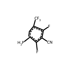 N#Cc1c(F)c(P)cc(C(F)(F)F)c1F